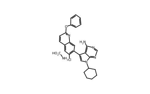 NC(=O)O.Nc1ncnc2c1c(-c1cc3nc(Oc4ccccc4)ccc3cc1Cl)cn2C1CCCCC1